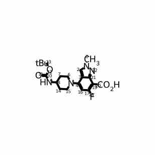 Cn1cc2c(N3CCC(NC(=O)OC(C)(C)C)CC3)cc(F)c(C(=O)O)c2n1